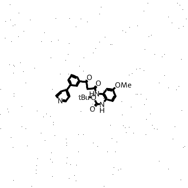 COc1ccc(NC(=O)OC(C)(C)C)c(NC(=O)CC(=O)c2cccc(-c3ccncc3)c2)c1